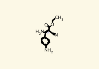 CCOC(=O)/C(C#N)=C(\N)c1ccc(N)cc1